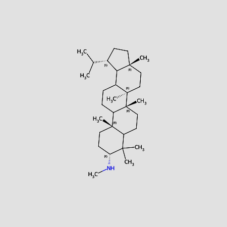 CN[C@@H]1CC[C@@]2(C)C(CC[C@]3(C)C2CCC2C4[C@H](C(C)C)CC[C@]4(C)CC[C@]23C)C1(C)C